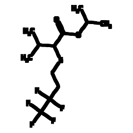 CC(C)OC(=O)C(SCCC(F)(F)C(F)(F)F)C(C)C